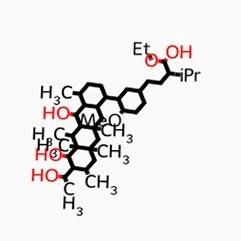 CCOC(O)C(CCC1CCC(OC)C(C2CCC(C)C3C(O)C4C(C)C5(C)C(O)C(C(C)O)C(C)CC5(C)CC4(C)CC23)C1)C(C)C